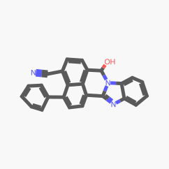 N#Cc1ccc2c3c(ccc(-c4ccccc4)c13)-c1nc3ccccc3n1C2O